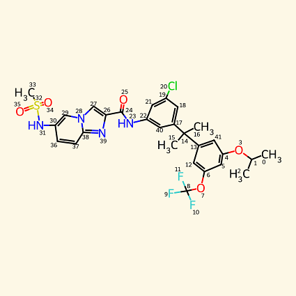 CC(C)Oc1cc(OC(F)(F)F)cc(C(C)(C)c2cc(Cl)cc(NC(=O)c3cn4cc(NS(C)(=O)=O)ccc4n3)c2)c1